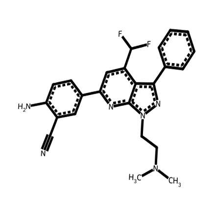 CN(C)CCn1nc(-c2ccccc2)c2c(C(F)F)cc(-c3ccc(N)c(C#N)c3)nc21